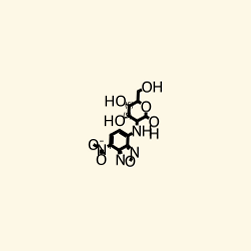 O=[N+]([O-])c1ccc(NC2C(O)OC(CO)[C@@H](O)[C@H]2O)c2nonc12